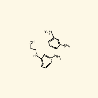 Nc1cccc(N)c1.Nc1cccc(NCCO)c1